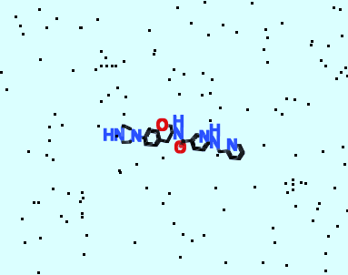 O=C(NC1COc2cc(N3CCNCC3)ccc2C1)c1ccc(NCc2ccccn2)nc1